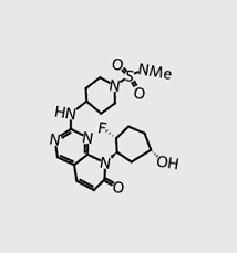 CNS(=O)(=O)N1CCC(Nc2ncc3ccc(=O)n([C@@H]4C[C@@H](O)CC[C@H]4F)c3n2)CC1